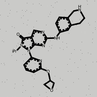 CC(C)n1c(=O)c2cnc(Nc3ccc4c(c3)CCNC4)nc2n1-c1cccc(OC2COC2)n1